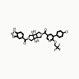 O=C(c1cnc(OCC(F)(F)F)c(-c2ccc(Cl)cc2)c1)N1C[C@@H]2[C@H](C1)[C@H]1CN(C(=O)c3ccc4[nH]nnc4c3)C[C@@H]21